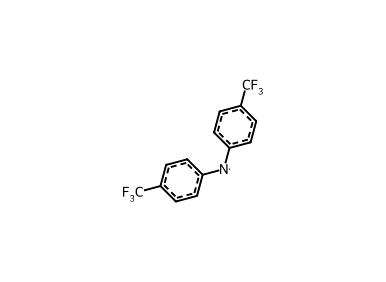 FC(F)(F)c1ccc([N]c2ccc(C(F)(F)F)cc2)cc1